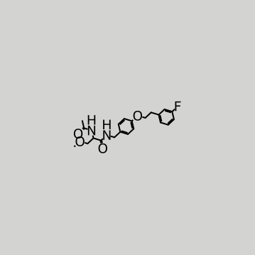 COCC(NC(C)=O)C(=O)NCc1ccc(OCCc2cccc(F)c2)cc1